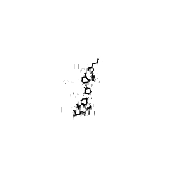 C=CCCC1=C(C)N2C(=O)c3cc(OC)c(OC4CCC(Oc5cc6c(cc5OC)C(=O)N5C(C)=C(I)C[C@H]5[C@H](O)N6C(=O)CC)C4)cc3N(C(=O)CC)[C@@H](O)C2C1